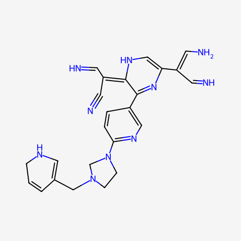 N#C/C(C=N)=C1/NC=C(/C(C=N)=C/N)N=C1c1ccc(N2CCN(CC3=CNCC=C3)C2)nc1